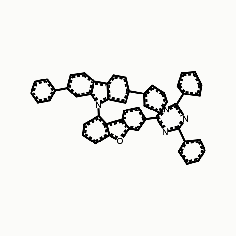 c1ccc(-c2ccc3c4ccc(-c5ccccc5)cc4n(-c4cccc5oc6cc(-c7nc(-c8ccccc8)nc(-c8ccccc8)n7)ccc6c45)c3c2)cc1